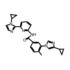 Cc1ccc(C(=O)Nc2cccc(-c3nccn3C3CC3)n2)cc1-n1cnc(C2CC2)c1